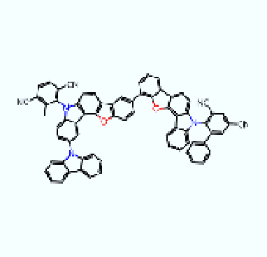 Cc1c(C#N)ccc(C#N)c1-n1c2ccc(-n3c4ccccc4c4ccccc43)cc2c2c3oc4ccc(-c5cccc6c5oc5c6ccc6c5c5ccccc5n6-c5c(C#N)cc(C#N)cc5-c5ccccc5)cc4c3ccc21